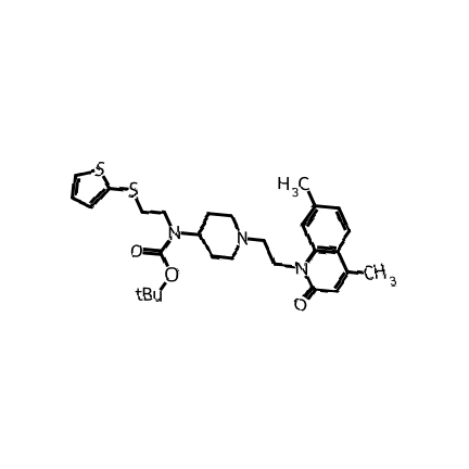 Cc1ccc2c(C)cc(=O)n(CCN3CCC(N(CCSc4cccs4)C(=O)OC(C)(C)C)CC3)c2c1